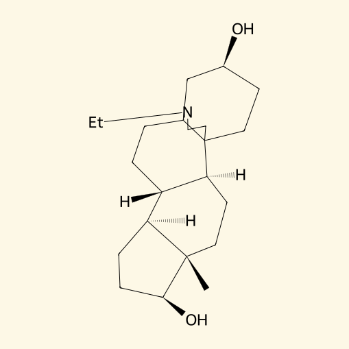 CCN1CCC23CC[C@H](O)CC12CC[C@@H]1[C@@H]3CC[C@]2(C)[C@@H](O)CC[C@@H]12